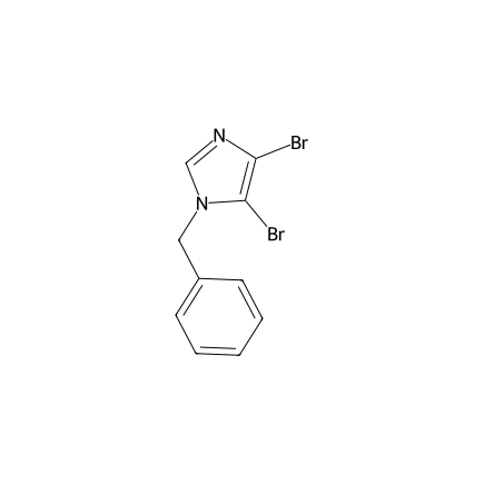 Brc1ncn(Cc2ccccc2)c1Br